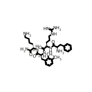 Cc1cccc(C[C@H](NC(=O)[C@@H](CCCNC(=N)N)NC(=O)[C@@H](N)Cc2ccccc2)C(=O)N[C@@H](CCCCN)C(N)=O)c1C